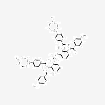 COc1ccc(C(=O)Nc2cccc(OS(=O)(=O)Oc3cccc(NC(=O)c4ccc(OC)cc4)c3NC(=O)c3ccc(N4CCCN(C)CC4)cc3)c2NC(=O)c2ccc(N3CCCN(C)CC3)cc2)cc1